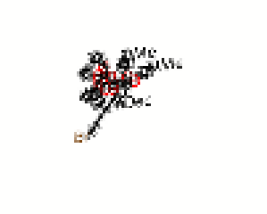 CCCCCCCCCCCCCC[C@@H](OCc1ccc(OC)cc1)[C@@H](OCc1ccc(OC)cc1)[C@H](CO[C@H]1OC(COCc2ccccc2)[C@H](OCc2ccccc2)[C@H](OCc2ccccc2)[C@H]1OCc1ccccc1)CC(=O)CCCCCCCCCCCBr